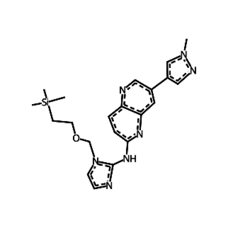 Cn1cc(-c2cnc3ccc(Nc4nccn4COCC[Si](C)(C)C)nc3c2)cn1